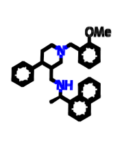 COc1ccccc1CN1CCC(c2ccccc2)C(CN[C@H](C)c2cccc3ccccc23)C1